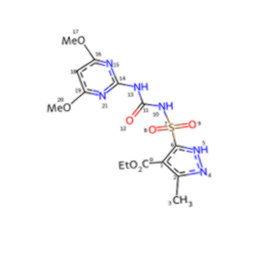 CCOC(=O)c1c(C)n[nH]c1S(=O)(=O)NC(=O)Nc1nc(OC)cc(OC)n1